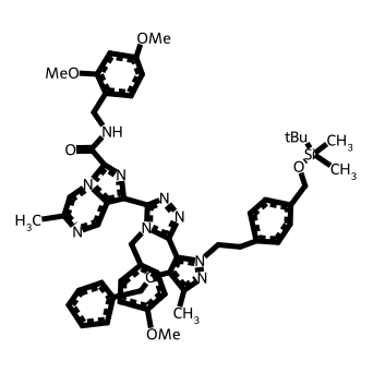 COc1ccc(Cn2c(-c3nc(C(=O)NCc4ccc(OC)cc4OC)n4cc(C)ncc34)nnc2-c2c(OCc3ccccc3)c(C)nn2CCc2ccc(CO[Si](C)(C)C(C)(C)C)cc2)cc1